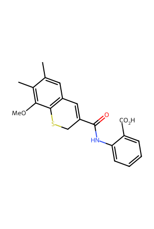 COc1c(C)c(C)cc2c1SCC(C(=O)Nc1ccccc1C(=O)O)=C2